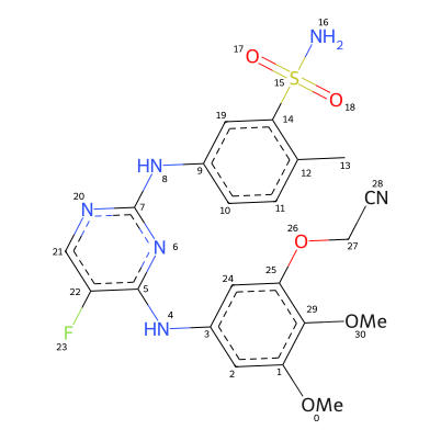 COc1cc(Nc2nc(Nc3ccc(C)c(S(N)(=O)=O)c3)ncc2F)cc(OCC#N)c1OC